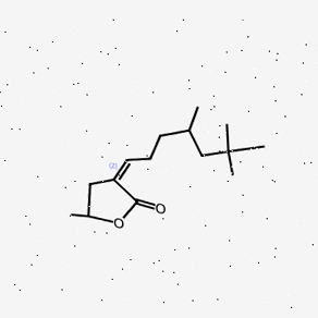 CC(CC/C=C1/CC(C)OC1=O)CC(C)(C)C